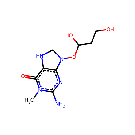 Cn1c(N)nc2c(c1=O)NCN2OC(O)CCO